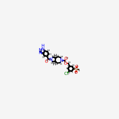 CS(=O)(=O)c1cc(Cl)cc(COC(=O)N2CC[C@@H]3CN(C(=O)c4ccc5[nH]nnc5c4)C[C@@H]3CC2)c1